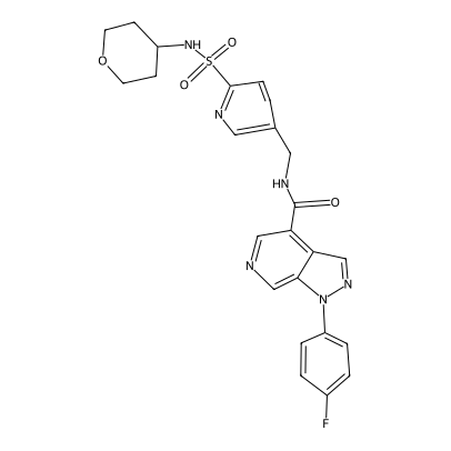 O=C(NCc1ccc(S(=O)(=O)NC2CCOCC2)nc1)c1cncc2c1cnn2-c1ccc(F)cc1